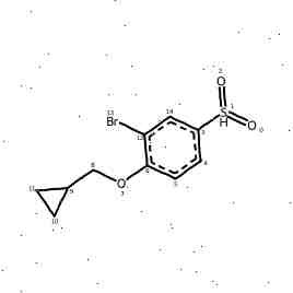 O=[SH](=O)c1ccc(OCC2CC2)c(Br)c1